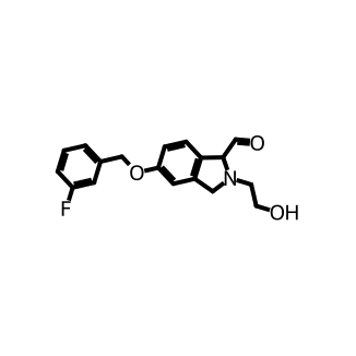 O=CC1c2ccc(OCc3cccc(F)c3)cc2CN1CCO